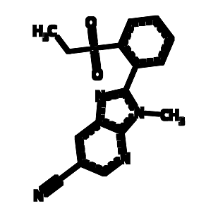 CCS(=O)(=O)c1ccccc1-c1nc2cc(C#N)cnc2n1C